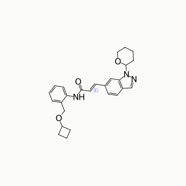 O=C(/C=C/c1ccc2cnn(C3CCCCO3)c2c1)Nc1ccccc1COC1CCC1